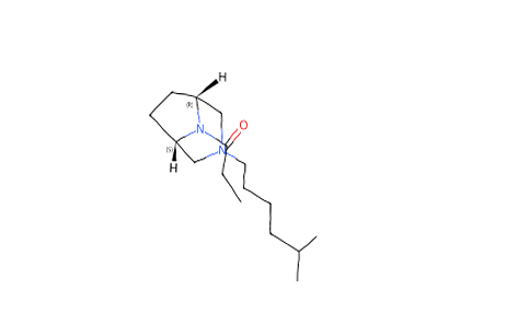 CCC(=O)N1[C@@H]2CC[C@H]1CN(CCCCC(C)C)C2